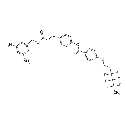 Nc1cc(N)cc(COC(=O)C=Cc2ccc(OC(=O)c3ccc(OCCC(F)(F)C(F)(F)C(F)(F)C(F)(F)F)cc3)cc2)c1